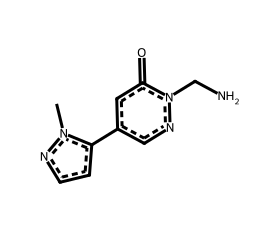 Cn1nccc1-c1cnn(CN)c(=O)c1